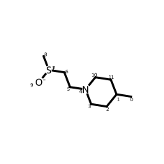 CC1CCN(CC[S+](C)[O-])CC1